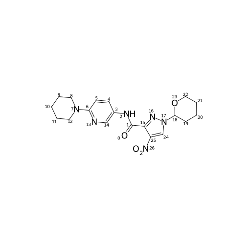 O=C(Nc1ccc(N2CCCCC2)nc1)c1nn(C2CCCCO2)cc1[N+](=O)[O-]